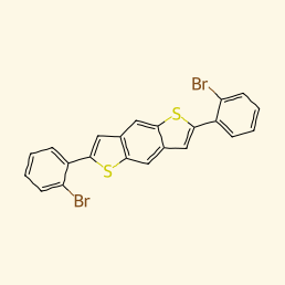 Brc1ccccc1-c1cc2cc3sc(-c4ccccc4Br)cc3cc2s1